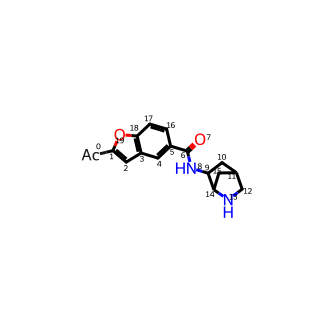 CC(=O)c1cc2cc(C(=O)NC3CC4CNC3C4)ccc2o1